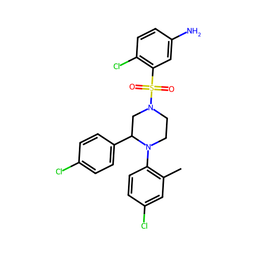 Cc1cc(Cl)ccc1N1CCN(S(=O)(=O)c2cc(N)ccc2Cl)CC1c1ccc(Cl)cc1